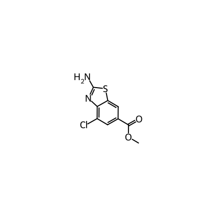 COC(=O)c1cc(Cl)c2nc(N)sc2c1